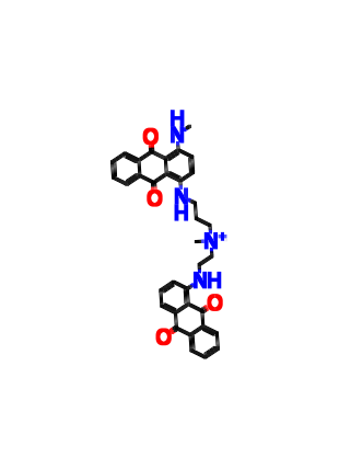 CNc1ccc(NCCC[N+](C)(C)CCNc2cccc3c2C(=O)c2ccccc2C3=O)c2c1C(=O)c1ccccc1C2=O